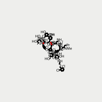 CN[C@H](CC(C)C)C(=O)NC1C(=O)NC(CC(N)=O)C(=O)N[C@H]2C(=O)N[C@H]3C(=O)N[C@H](C(=O)NC(C(=O)O)c4cc(O)cc(O)c4-c4cc3ccc4O)[C@H](O[C@H]3C[C@](C)(N)[C@@H](O)[C@H](C)O3)c3ccc(c(Cl)c3)Oc3cc2cc(c3O[C@@H]2O[C@H](CO)[C@@H](O[C@@H]3O[C@H](CNCCSCc4c(Cl)cccc4Cl)[C@H](O)[C@H](O)[C@H]3O)[C@H](O)[C@H]2O)Oc2ccc(cc2Cl)[C@H]1O